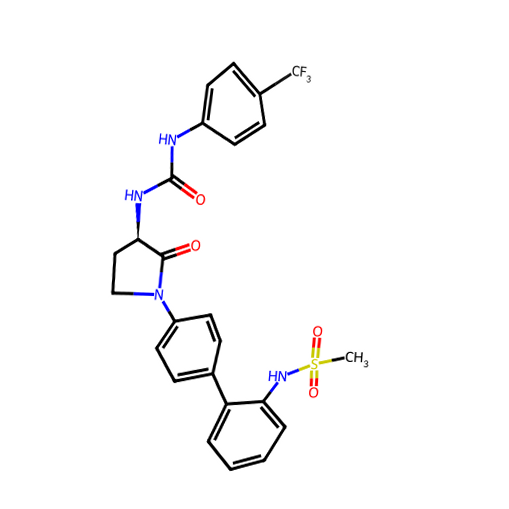 CS(=O)(=O)Nc1ccccc1-c1ccc(N2CC[C@@H](NC(=O)Nc3ccc(C(F)(F)F)cc3)C2=O)cc1